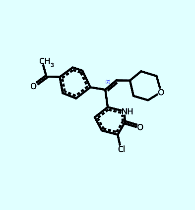 CC(=O)c1ccc(/C(=C/C2CCOCC2)c2ccc(Cl)c(=O)[nH]2)cc1